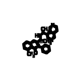 C=C(N[C@@H](C)c1cc2cccc(C(F)(F)F)c2c(=O)n1-c1ccccc1)c1cncc2ccncc12